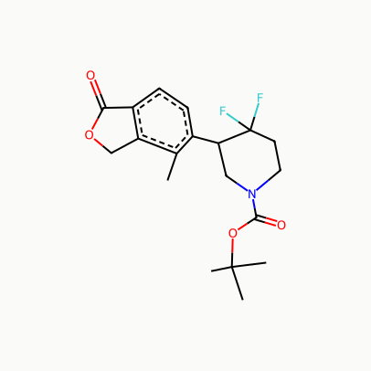 Cc1c(C2CN(C(=O)OC(C)(C)C)CCC2(F)F)ccc2c1COC2=O